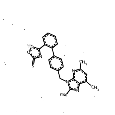 CCCCc1nc2c(C)cc(C)nc2n1Cc1ccc(-c2ccccc2-c2nc(=S)o[nH]2)cc1